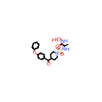 CC(NS(=O)(=O)N1CCC(C(=O)c2ccc(Oc3ccccc3)cc2)CC1)C(=O)NO